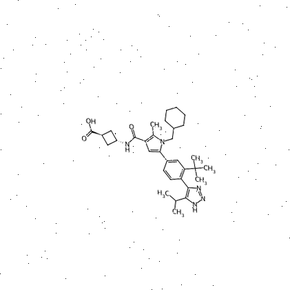 Cc1c(C(=O)N[C@H]2C[C@H](C(=O)O)C2)cc(-c2ccc(-c3nn[nH]c3C(C)C)c(C(C)(C)C)c2)n1CC1CCCCC1